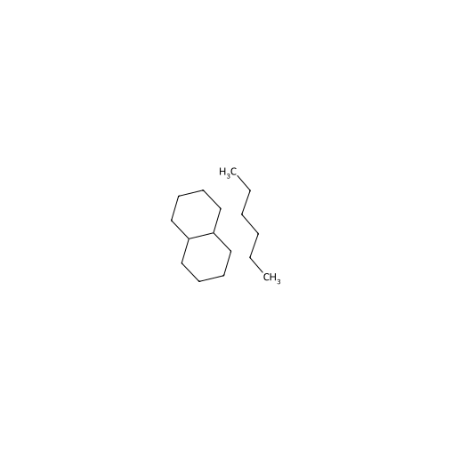 C1CCC2CCCCC2C1.CCCCCC